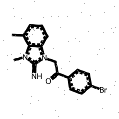 Cc1cccc2c1n(C)c(=N)n2CC(=O)c1ccc(Br)cc1